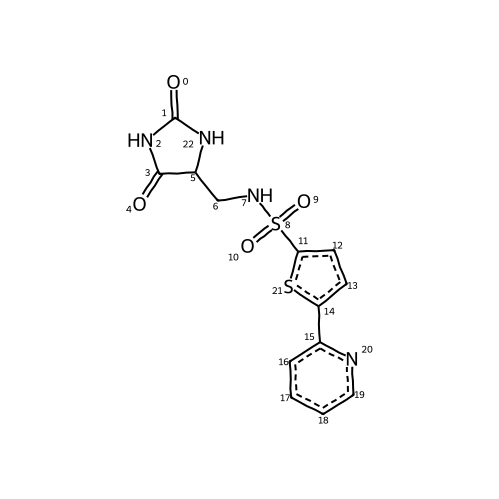 O=C1NC(=O)C(CNS(=O)(=O)c2ccc(-c3ccccn3)s2)N1